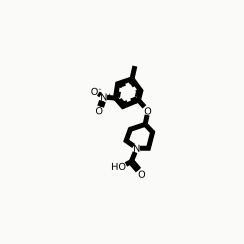 Cc1cc(OC2CCN(C(=O)O)CC2)cc([N+](=O)[O-])c1